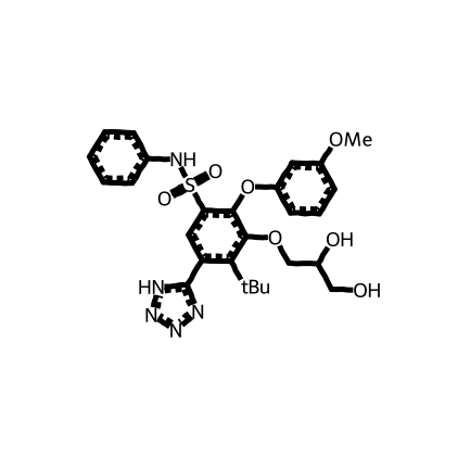 COc1cccc(Oc2c(S(=O)(=O)Nc3ccccc3)cc(-c3nnn[nH]3)c(C(C)(C)C)c2OCC(O)CO)c1